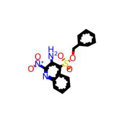 Nc1c([N+](=O)[O-])nc2ccccc2c1S(=O)(=O)OCc1ccccc1